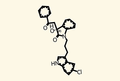 O=C(C[C@]1(O)C(=O)N(CCCc2c[nH]c3ccc(Cl)cc23)c2ccccc21)c1ccccc1